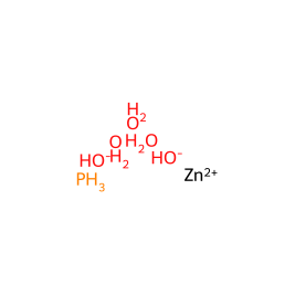 O.O.O.P.[OH-].[OH-].[Zn+2]